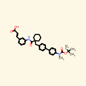 CN(C(=O)OC(C)(C)C)c1ccc(-c2ccc(CC3(C(=O)Nc4cccc(/C=C/C(=O)O)c4)CCCCC3)cc2)cc1